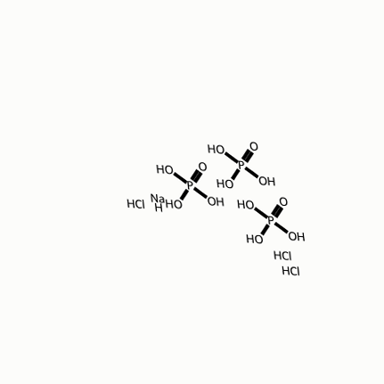 Cl.Cl.Cl.O=P(O)(O)O.O=P(O)(O)O.O=P(O)(O)O.[NaH]